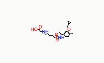 Cc1ccc(C(C)NS(=O)(=O)CCCCCNCC(=O)O)cc1OCC1CC1